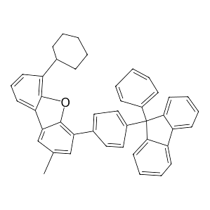 Cc1cc(-c2ccc(C3(c4ccccc4)c4ccccc4-c4ccccc43)cc2)c2oc3c(C4CCCCC4)cccc3c2c1